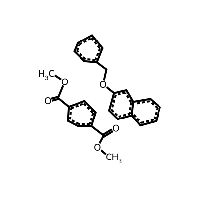 COC(=O)c1ccc(C(=O)OC)cc1.c1ccc(COc2ccc3ccccc3c2)cc1